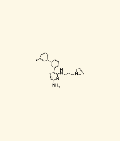 Nc1ncc(-c2cccc(-c3cccc(F)c3)c2)c(NCCCN2CC=NC2)n1